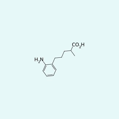 CC(CCCc1ccccc1N)C(=O)O